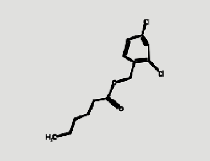 CCCCCC(=O)OCc1ccc(Cl)cc1Cl